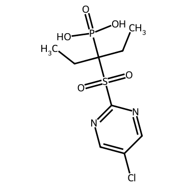 CCC(CC)(P(=O)(O)O)S(=O)(=O)c1ncc(Cl)cn1